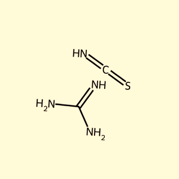 N=C(N)N.N=C=S